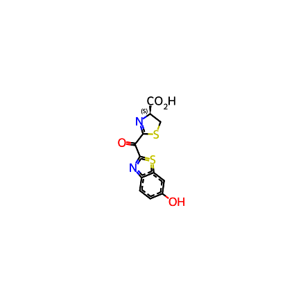 O=C(C1=N[C@@H](C(=O)O)CS1)c1nc2ccc(O)cc2s1